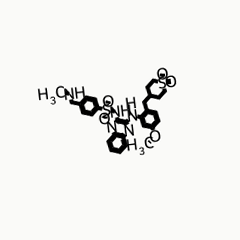 CNCc1ccc(S(=O)(=O)Nc2nc3ccccc3nc2Nc2cc(OC)ccc2CC2CCS(=O)(=O)CC2)cc1